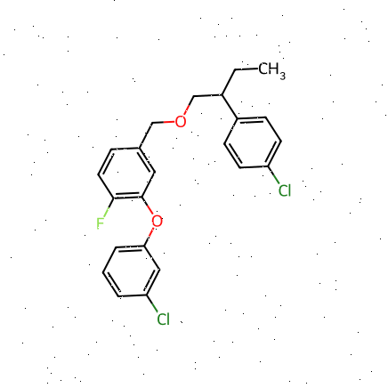 CCC(COCc1ccc(F)c(Oc2cccc(Cl)c2)c1)c1ccc(Cl)cc1